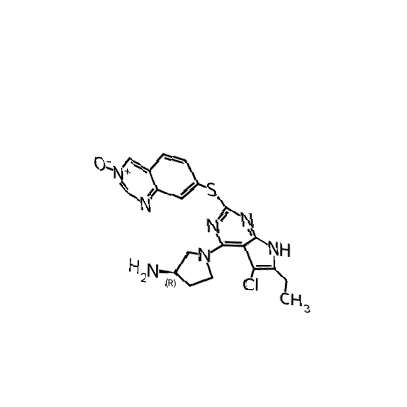 CCc1[nH]c2nc(Sc3ccc4c[n+]([O-])cnc4c3)nc(N3CC[C@@H](N)C3)c2c1Cl